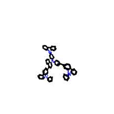 c1ccc(-n2c3ccccc3c3ccc(-c4ccc(N(c5ccc(-n6c7ccccc7c7ccccc76)cc5)c5ccc(-c6ccc7c8ccccc8n(-c8ccccc8)c7c6)c6ccccc56)cc4)cc32)cc1